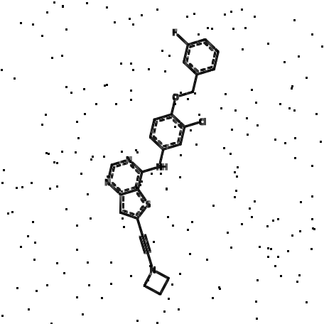 Fc1cccc(COc2ccc(Nc3ncnc4cc(C#CN5CCC5)sc34)cc2Cl)c1